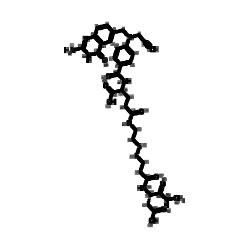 C#CCN(Cc1ccc2nc(N)[nH]c(=O)c2c1)c1ccc(C(=O)N[C@@H](CCC(=O)OCCSSCCC(=O)N[C@@H](CC(=O)O)C(=O)NC)C(=O)O)cc1